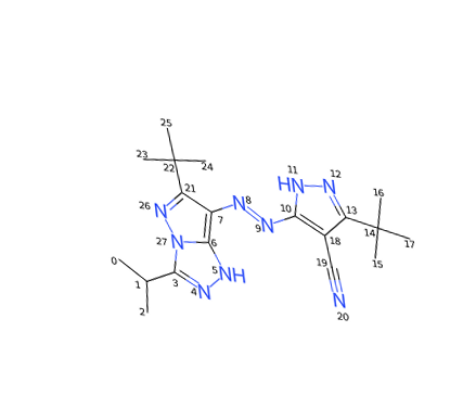 CC(C)c1n[nH]c2c(N=Nc3[nH]nc(C(C)(C)C)c3C#N)c(C(C)(C)C)nn12